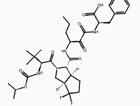 CCCC(NC(=O)[C@@H]1[C@H]2CCC(F)(F)[C@H]2CN1C(=O)[C@@H](NC(=O)OC(C)C)C(C)(C)C)C(=O)C(=O)N[C@H](Cc1ccccc1)C(=O)O